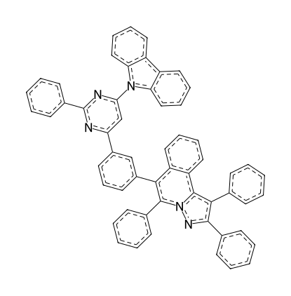 c1ccc(-c2nc(-c3cccc(-c4c(-c5ccccc5)n5nc(-c6ccccc6)c(-c6ccccc6)c5c5ccccc45)c3)cc(-n3c4ccccc4c4ccccc43)n2)cc1